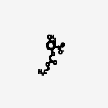 CCOC(=O)COc1ccc(C)nc1[N+](=O)[O-]